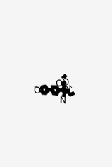 CCOC(=O)c1c(-c2ccc(-c3ccc(OC)cc3)cc2)c(C#N)c(CC)n1C